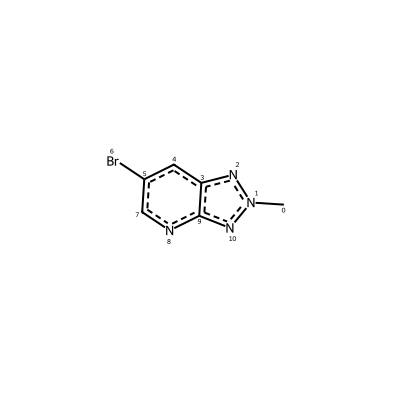 Cn1nc2cc(Br)cnc2n1